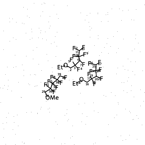 CCOCC(F)(F)C(F)C(F)(F)C(F)F.CCOCC(F)(F)C(F)C(F)(F)C(F)F.COCC(F)(F)C(F)(F)C(F)(F)CF